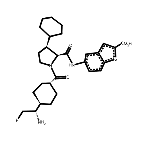 N[C@H](CF)[C@H]1CC[C@H](C(=O)N2CC[C@@H](C3CCCCC3)[C@H]2C(=O)Nc2ccc3sc(C(=O)O)cc3c2)CC1